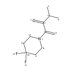 C=C(C(=O)C(C)C)N1CCC(F)(F)CC1